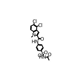 CC(=O)NS(=O)(=O)c1ccc(NC(=O)c2cc3c(Cl)c(Cl)ccc3n2C)cc1